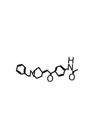 CC(=O)Nc1ccc(C(=O)C=C2CCN(Cc3ccccc3)CC2)cc1